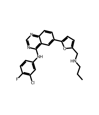 CCCNCc1ccc(-c2ccc3ncnc(Nc4ccc(F)c(Cl)c4)c3c2)o1